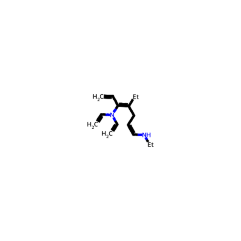 C=C/C(=C(\CC)C/C=C\NCC)N(C=C)C=C